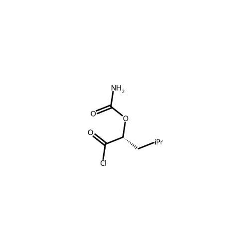 CC(C)C[C@@H](OC(N)=O)C(=O)Cl